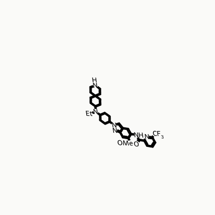 CCN(C1CCC(n2cc3cc(NC(=O)c4cccc(C(F)(F)F)n4)c(OC)cc3n2)CC1)C1CCC2(CCNCC2)CC1